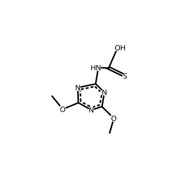 COc1nc(NC(O)=S)nc(OC)n1